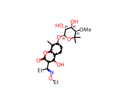 CCON=C(CC)c1c(O)c2ccc(O[C@@H]3OC(C)(C)[C@H](OC)[C@H](O)[C@H]3O)c(C)c2oc1=O